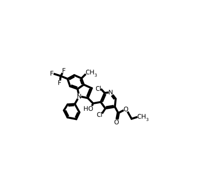 CCOC(=O)c1cnc(Cl)c(C(O)c2cc3c(C)cc(C(F)(F)F)cc3n2-c2ccccc2)c1Cl